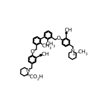 C#Cc1cc(CN2CCCC[C@H]2C)ccc1OCc1cccc(-c2cccc(COc3ccc(CN4CCCC[C@H]4C(=O)O)cc3C#C)c2C)c1C